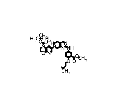 COCCOc1ccc(Nc2ncc3c(n2)CN(c2cnc4c(c2C)N(C(=O)OC(C)(C)C)CCO4)CC3)cc1C(=O)OC